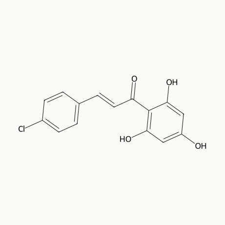 O=C(/C=C/c1ccc(Cl)cc1)c1c(O)cc(O)cc1O